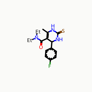 CCN(CC)C(=O)C1=C(C)NC(=S)NC1c1ccc(F)cc1